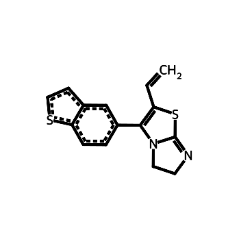 C=CC1=C(c2ccc3sccc3c2)N2CCN=C2S1